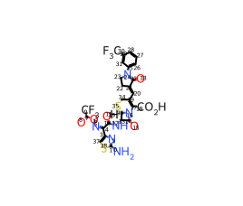 Nc1nc(/C(=N/OC(=O)C(F)(F)F)C(=O)N[C@@H]2C(=O)N3C(C(=O)O)=C(/C=C4\CCN(c5cccc(C(F)(F)F)c5)C4=O)CS[C@H]23)cs1